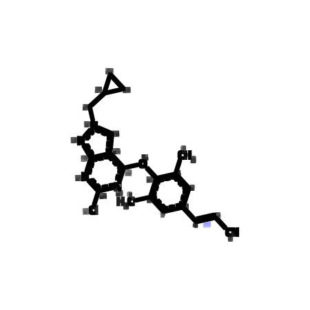 Cc1cc(/C=C/C#N)cc(C)c1Oc1nc(Cl)nc2nn(CC3CC3)cc12